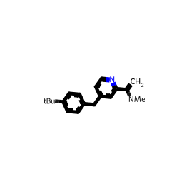 C=C(NC)c1cc(Cc2ccc(C(C)(C)C)cc2)ccn1